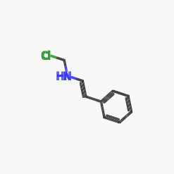 ClCNC=Cc1ccccc1